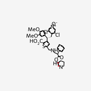 COc1ccc([C@H](Cc2c(Cl)c[n+]([O-])cc2Cl)c2cc(CNCC(C(=O)O[C@H]3CN4CCC3CC4)c3ccccc3)sc2C(=O)O)cc1OC